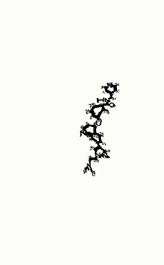 Cc1c(Oc2ccnc3cc(-c4cnn(CCN(C)C)c4)ccc23)cccc1C(=O)NCc1ccncc1